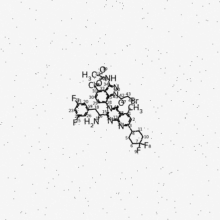 Cc1cc(C2CCC(F)(F)CC2)nc2nc([C@@H](N)Cc3cc(F)cc(F)c3)n(-c3ccc(Cl)c4c(NS(C)(=O)=O)nn(CCBr)c34)c(=O)c12